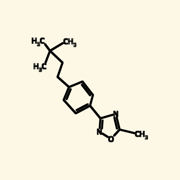 Cc1nc(-c2ccc(CCC(C)(C)C)cc2)no1